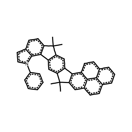 CC1(C)c2cc3c(cc2-c2c1cc1ccc4cccc5ccc2c1c45)C(C)(C)c1ccc2ccn(-c4ccccc4)c2c1-3